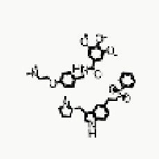 CN1CCC[C@@H]1Cc1c[nH]c2ccc(CCS(=O)(=O)c3ccccc3)cc12.COc1cc(C(=O)NCc2ccc(OCCN(C)C)cc2)cc(OC)c1OC